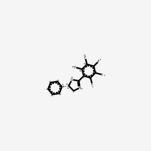 Fc1c(F)c(F)c(C2=NC[C@H](c3ccccc3)O2)c(F)c1F